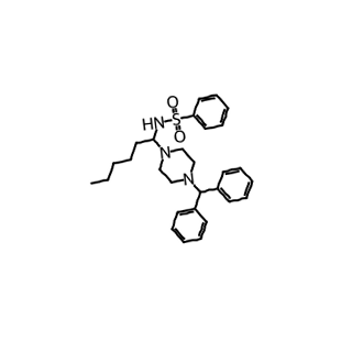 CCCCCC(NS(=O)(=O)c1ccccc1)N1CCN(C(c2ccccc2)c2ccccc2)CC1